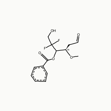 CO[C@H](CC=O)C(OC(=O)c1ccccc1)C(F)(F)CO